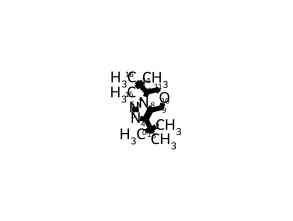 CC(C)(C)c1nnn2c1COCC2C(C)(C)C